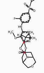 COc1c(Nc2ccc(S(=O)(=O)C3CC3)cc2F)ncnc1OC1CC2COCC(C1)N2C(=O)OCC(C)(C)C